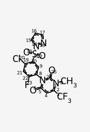 Cn1c(C(F)(F)F)cc(=O)n(-c2cc(S(=O)(=O)n3cccn3)c(Cl)cc2F)c1=O